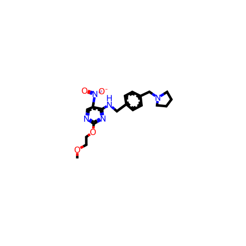 COCCOc1ncc([N+](=O)[O-])c(NCc2ccc(CN3CCCC3)cc2)n1